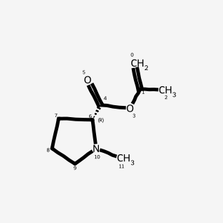 C=C(C)OC(=O)[C@H]1CCCN1C